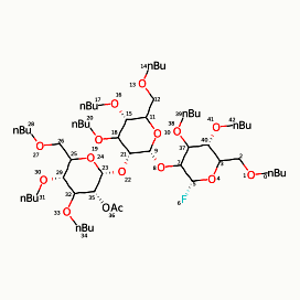 CCCCOCC1O[C@H](F)C(O[C@H]2OC(COCCCC)[C@@H](OCCCC)C(OCCCC)[C@H]2O[C@H]2OC(COCCCC)[C@@H](OCCCC)C(OCCCC)[C@H]2OC(C)=O)C(OCCCC)[C@@H]1OCCCC